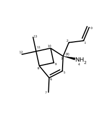 C=CC[C@]1(N)C=C(C)C2CC1C2(C)C